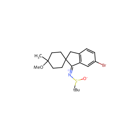 COC1(C)CCC2(CC1)Cc1ccc(Br)cc1/C2=N\[S+]([O-])C(C)(C)C